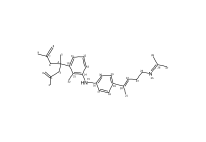 C=C(C)CC(C)(CC(=C)C)c1cccc(Nc2ccc(C(C)=CCCN=C(C)C)cc2)c1C